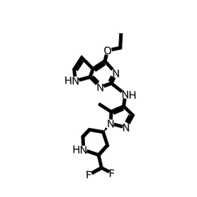 CCOc1nc(Nc2cnn([C@H]3CCNC(C(F)F)C3)c2C)nc2[nH]ccc12